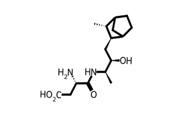 C[C@@H]1C2CCC(C2)[C@H]1C[C@@H](O)[C@@H](C)NC(=O)[C@@H](N)CC(=O)O